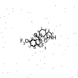 O=C1NCCC12CCCN(S(=O)(=O)c1cc(C(F)(F)F)ccc1C(F)(F)F)C2